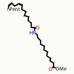 CCCCC/C=C\C/C=C\CCCCCCCC(=O)NCCCCCCCCCCCC(=O)OC